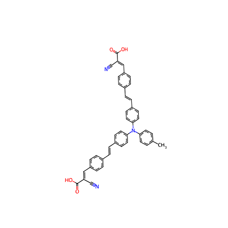 Cc1ccc(N(c2ccc(/C=C/c3ccc(/C=C(\C#N)C(=O)O)cc3)cc2)c2ccc(/C=C/c3ccc(/C=C(\C#N)C(=O)O)cc3)cc2)cc1